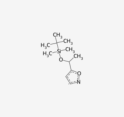 CC(O[Si](C)(C)C(C)(C)C)c1c[c]no1